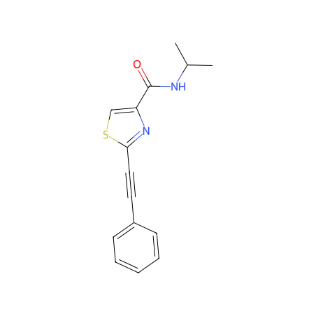 CC(C)NC(=O)c1csc(C#Cc2ccccc2)n1